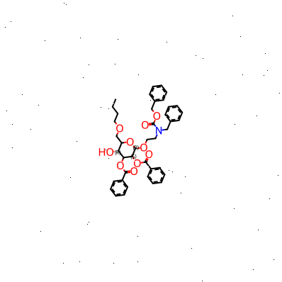 CCCCOCC1O[C@@H](OCCN(Cc2ccccc2)C(=O)OCc2ccccc2)[C@@H](OC(=O)c2ccccc2)C(OC(=O)c2ccccc2)[C@@H]1O